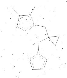 Cc1c([N+](=O)[O-])cnn1CC1(Cn2cncn2)CC1